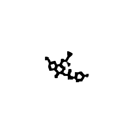 O=C(Cn1nc(O[C@@H](F)C2CC2)c2cc(Br)ccc2c1=O)Nc1ncc(F)cn1